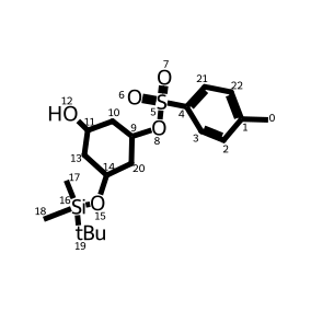 Cc1ccc(S(=O)(=O)OC2CC(O)CC(O[Si](C)(C)C(C)(C)C)C2)cc1